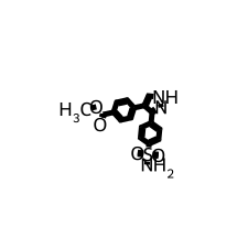 COC(=O)c1ccc(-c2c[nH]nc2-c2ccc(S(N)(=O)=O)cc2)cc1